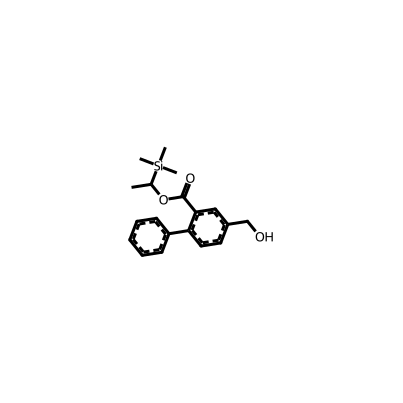 CC(OC(=O)c1cc(CO)ccc1-c1ccccc1)[Si](C)(C)C